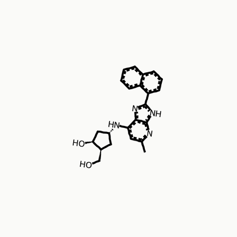 Cc1cc(N[C@@H]2C[C@@H](CO)[C@@H](O)C2)c2nc(-c3cccc4ccccc34)[nH]c2n1